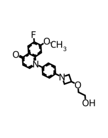 COc1cc2c(cc1F)c(=O)ccn2-c1ccc(N2CC(OCCO)C2)cc1